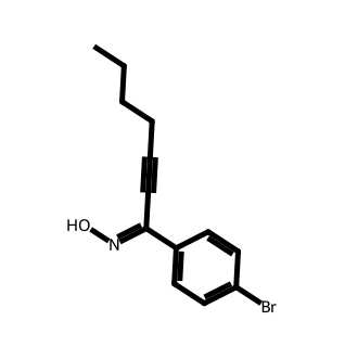 CCCCC#CC(=NO)c1ccc(Br)cc1